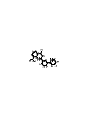 CC(C)c1cccc2c1N=C(c1cccc(-c3ccccn3)c1)CC2C